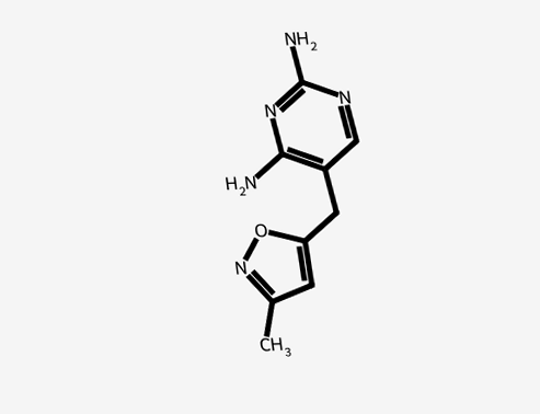 Cc1cc(Cc2cnc(N)nc2N)on1